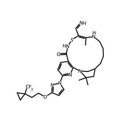 C/C1=C(/C=N)SNC(=O)c2ccc(-n3ccc(OCCC4(C(F)(F)F)CC4)n3)nc2N2CC(CCCCN1)CC2(C)C